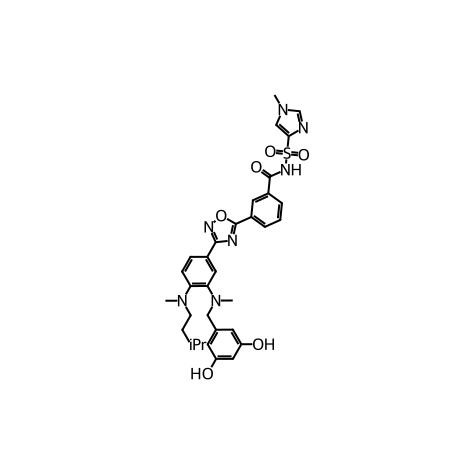 CC(C)CCN(C)c1ccc(-c2noc(-c3cccc(C(=O)NS(=O)(=O)c4cn(C)cn4)c3)n2)cc1N(C)Cc1cc(O)cc(O)c1